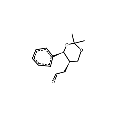 CC1(C)OC[C@@H](CC=O)[C@@H](c2ccccc2)O1